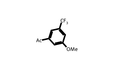 COc1cc(C(C)=O)cc(C(F)(F)F)c1